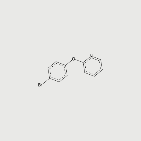 Brc1ccc(Oc2ccccn2)cc1